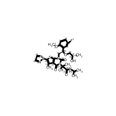 COc1ccc(F)cc1[C@H](Cn1c(=O)n(C(C)(C)C(=O)NC(C)C)c(=O)c2c(C)c(-n3nccn3)sc21)OC[C@H](C)O